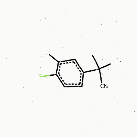 Cc1cc(C(C)(C)C#N)ccc1F